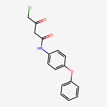 O=C(CCl)CC(=O)Nc1ccc(Oc2ccccc2)cc1